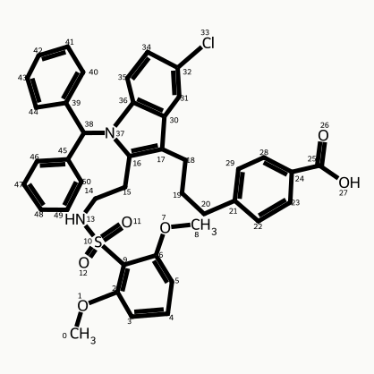 COc1cccc(OC)c1S(=O)(=O)NCCc1c(CCCc2ccc(C(=O)O)cc2)c2cc(Cl)ccc2n1C(c1ccccc1)c1ccccc1